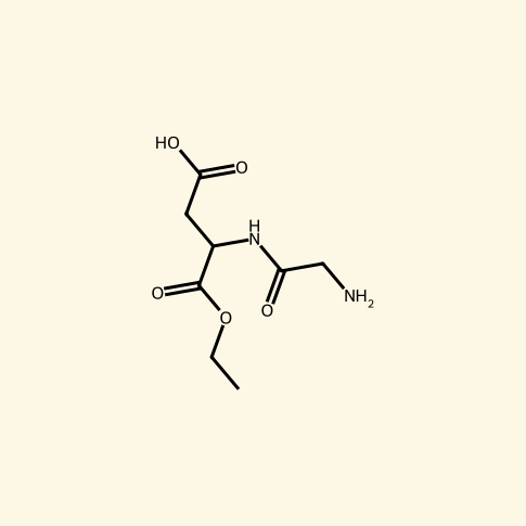 CCOC(=O)C(CC(=O)O)NC(=O)CN